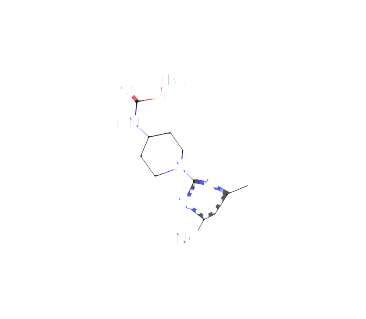 Cc1cc(C#N)nc(N2CCC(NC(=O)OC(C)(C)C)CC2)n1